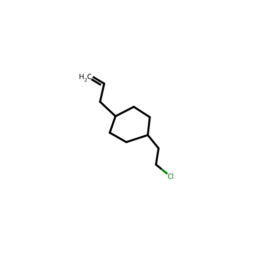 C=CCC1CCC(CCCl)CC1